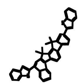 CC1(C)c2cc(-c3cc4ccccc4s3)ccc2-c2ccc3c(c21)C(C)(C)c1cc(-c2cc4ccccc4s2)c2ccccc2c1-3